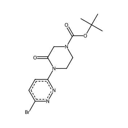 CC(C)(C)OC(=O)N1CCN(c2ccc(Br)nn2)C(=O)C1